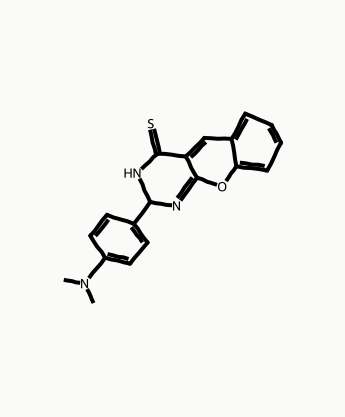 CN(C)c1ccc(C2N=C3Oc4ccccc4C=C3C(=S)N2)cc1